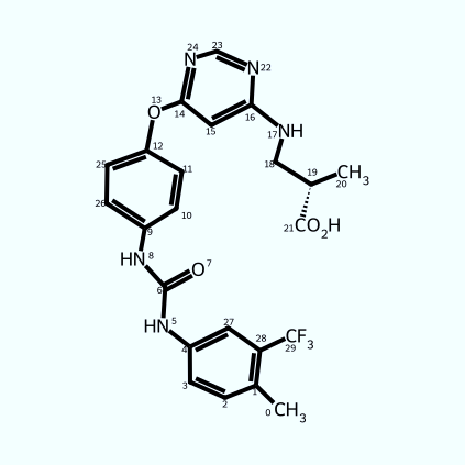 Cc1ccc(NC(=O)Nc2ccc(Oc3cc(NC[C@H](C)C(=O)O)ncn3)cc2)cc1C(F)(F)F